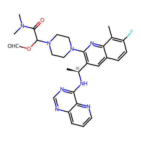 Cc1c(F)ccc2cc([C@H](C)Nc3ncnc4cccnc34)c(N3CCN(C(OC=O)C(=O)N(C)C)CC3)nc12